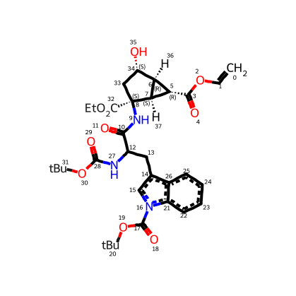 C=COC(=O)[C@H]1[C@H]2[C@@H]1[C@](NC(=O)C(Cc1cn(C(=O)OC(C)(C)C)c3ccccc13)NC(=O)OC(C)(C)C)(C(=O)OCC)C[C@@H]2O